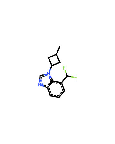 CC1CC(n2cnc3cccc(C(F)F)c32)C1